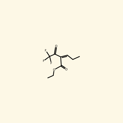 CCC=C(C(=O)OCC)C(=O)C(F)(F)F